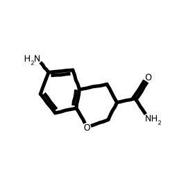 NC(=O)C1COc2ccc(N)cc2C1